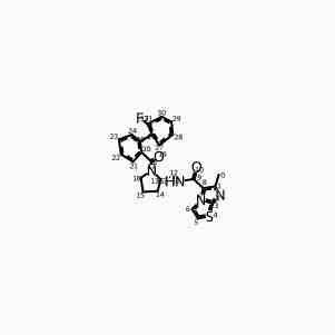 Cc1nc2sccn2c1C(=O)NC[C@@H]1CCCN1C(=O)c1ccccc1-c1ccccc1F